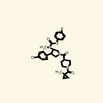 CN(C(=O)Oc1ccc(F)cc1)C1CN(C(=O)C2CCN(C(=O)C3(C)CC3)CC2)CC1c1ccc(Cl)cc1